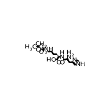 CC(C)(C)OC(=O)NCCCC[C@H](NC(=O)[C@@H](N)Cc1c[nH]cn1)C(=O)O